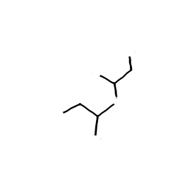 CC(=O)OCC(O)BC(CO)OC(C)=O